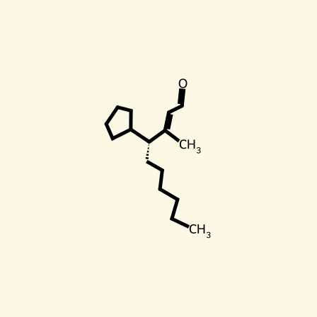 CCCCCC[C@@H](C(C)=CC=O)C1CCCC1